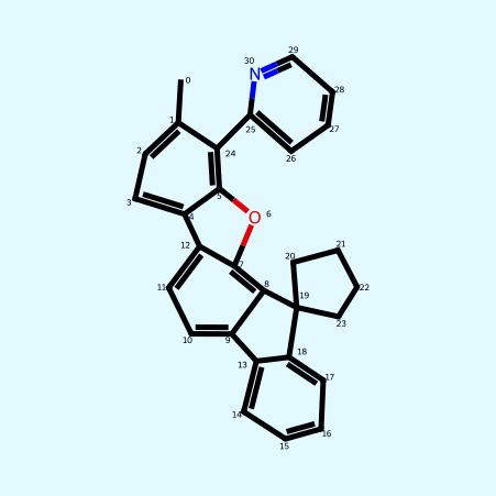 Cc1ccc2c(oc3c4c(ccc32)-c2ccccc2C42CCCC2)c1-c1ccccn1